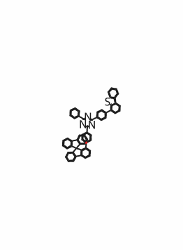 c1ccc(-c2nc(-c3ccc(-c4cccc5c4C4(c6ccccc6-c6ccccc64)c4ccccc4-5)cc3)nc(-c3ccc(-c4cccc5c4sc4ccccc45)cc3)n2)cc1